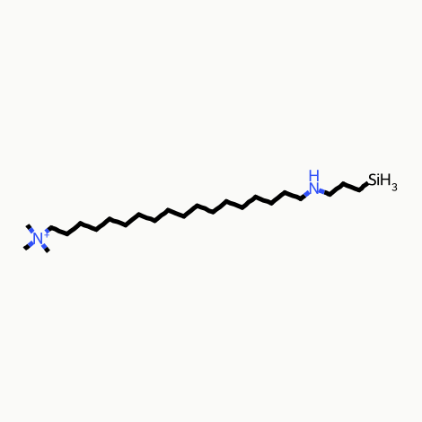 C[N+](C)(C)CCCCCCCCCCCCCCCCCCNCCC[SiH3]